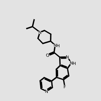 CC(C)N1CCC(NC(=O)c2n[nH]c3cc(F)c(-c4cccnc4)cc23)CC1